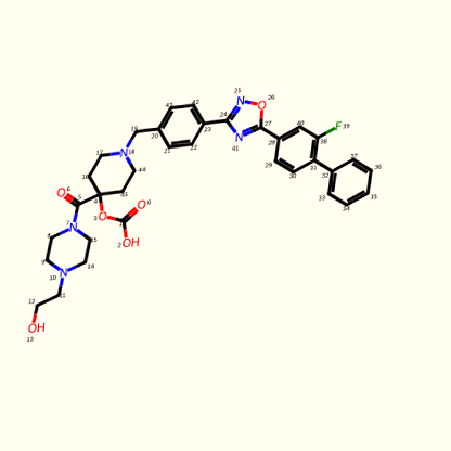 O=C(O)OC1(C(=O)N2CCN(CCO)CC2)CCN(Cc2ccc(-c3noc(-c4ccc(-c5ccccc5)c(F)c4)n3)cc2)CC1